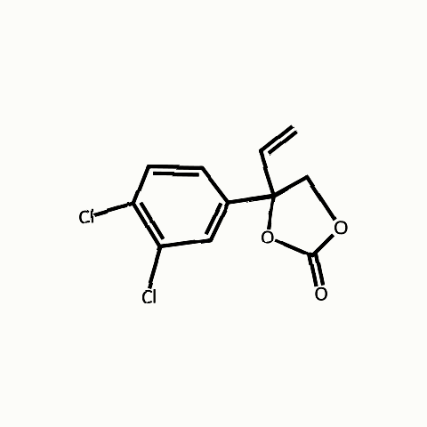 C=CC1(c2ccc(Cl)c(Cl)c2)COC(=O)O1